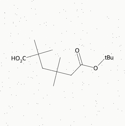 CC(C)(CC(=O)OC(C)(C)C)CC(C)(C)C(=O)O